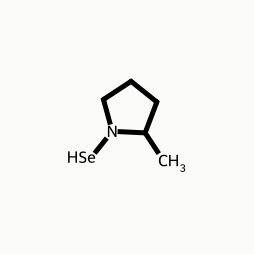 CC1CCCN1[SeH]